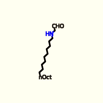 CCCCCCCCCCCCCCCCCCNCC=O